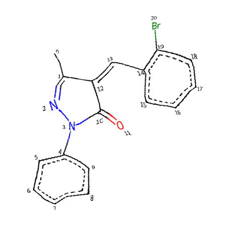 CC1=NN(c2ccccc2)C(=O)C1=Cc1ccccc1Br